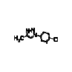 Cc1cn(-c2c[c]c(Cl)cc2)nn1